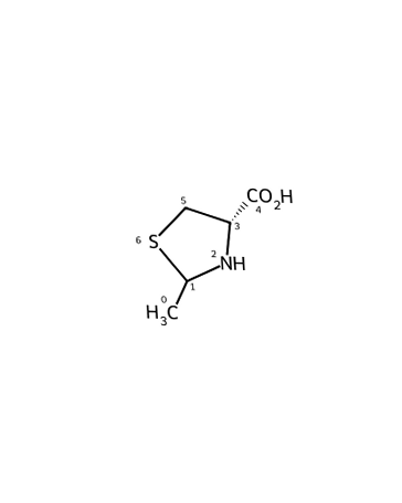 CC1N[C@@H](C(=O)O)CS1